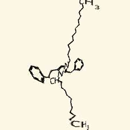 CCCCCCCCCCCCCCn1cc(CC(C)c2ccccc2)[n+](CCCCCCCCCCCC)c1Cc1ccccc1